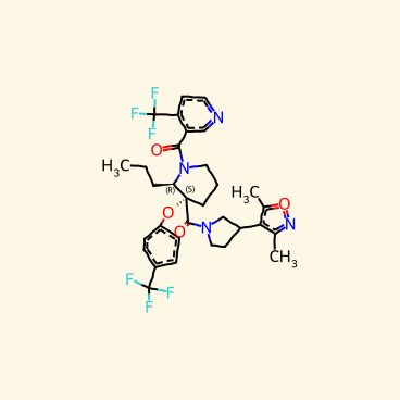 CCC[C@H]1N(C(=O)c2cnccc2C(F)(F)F)CCC[C@@]1(Oc1ccc(C(F)(F)F)cc1)C(=O)N1CCC(c2c(C)noc2C)C1